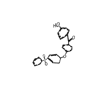 O=C(c1ccc(O)cc1)c1ccc(OC2C=CC(S(=O)(=O)c3ccccc3)=CC2)cc1